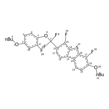 CCCCOc1ccc(OC(F)(F)c2ccc3c(sc4c(F)c(OCCCC)ccc43)c2F)c(F)c1